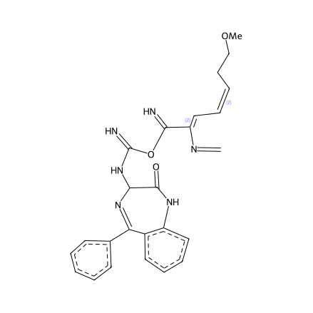 C=N/C(=C\C=C/CCOC)C(=N)OC(=N)NC1N=C(c2ccccc2)c2ccccc2NC1=O